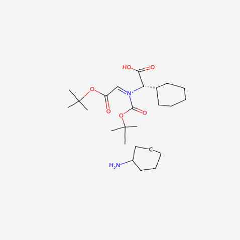 CC(C)(C)OC(=O)C=[N+](C(=O)OC(C)(C)C)[C@H](C(=O)O)C1CCCCC1.NC1CCCCC1